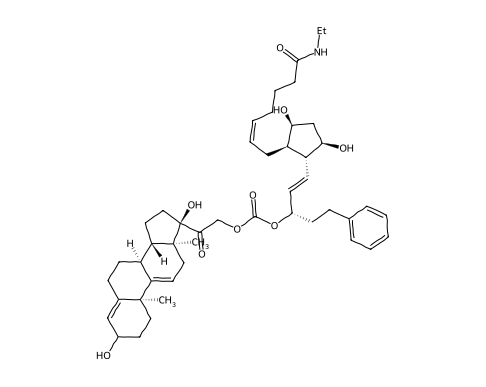 CCNC(=O)CCC/C=C\C[C@@H]1[C@@H](/C=C/[C@H](CCc2ccccc2)OC(=O)OCC(=O)[C@@]2(O)CC[C@H]3[C@@H]4CCC5=CC(O)CC[C@]5(C)C4=CC[C@@]32C)[C@H](O)C[C@@H]1O